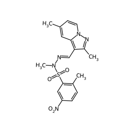 Cc1ccn2nc(C)c(C=NN(C)S(=O)(=O)c3cc([N+](=O)[O-])ccc3C)c2c1